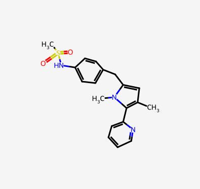 Cc1cc(Cc2ccc(NS(C)(=O)=O)cc2)n(C)c1-c1ccccn1